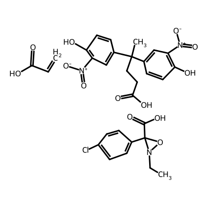 C=CC(=O)O.CC(CCC(=O)O)(c1ccc(O)c([N+](=O)[O-])c1)c1ccc(O)c([N+](=O)[O-])c1.CCN1OC1(C(=O)O)c1ccc(Cl)cc1